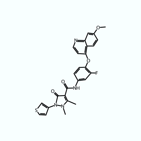 COc1ccc2c(Oc3ccc(NC(=O)c4c(C)n(C)n(-c5ccsc5)c4=O)cc3F)ccnc2c1